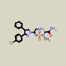 CN(CC(N)=O)S(=O)(=O)/N=C(\CN)N1CC(c2ccccc2)C(c2ccc(Cl)cc2)=N1